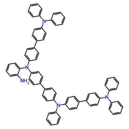 Nc1ccccc1N(c1ccc(-c2ccc(N(c3ccccc3)c3ccccc3)cc2)cc1)c1ccc(-c2ccc(N(c3ccccc3)c3ccc(-c4ccc(N(c5ccccc5)c5ccccc5)cc4)cc3)cc2)cc1